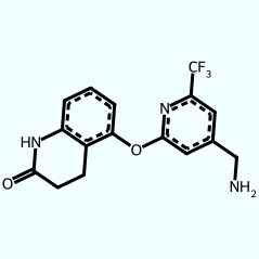 NCc1cc(Oc2cccc3c2CCC(=O)N3)nc(C(F)(F)F)c1